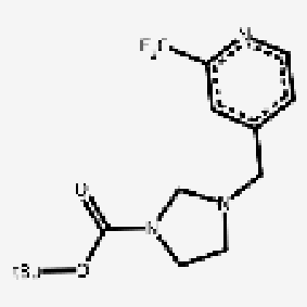 CC(C)(C)OC(=O)N1CCN(Cc2ccnc(C(F)(F)F)c2)C1